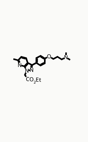 CCOC(=O)Cn1nc(-c2ccc(OCCCN(C)C)cc2)c2ccc(C)nc21